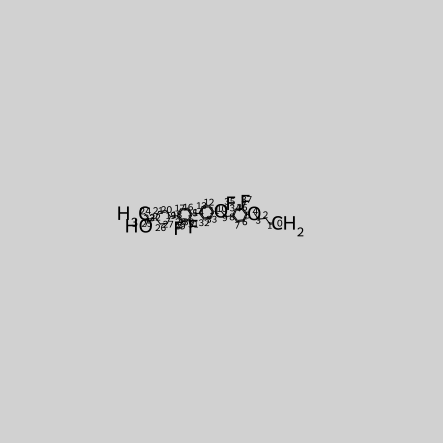 C=CCCOc1ccc(COc2ccc(-c3ccc(C4CCC(C(C)O)CC4)c(F)c3F)cc2)c(F)c1F